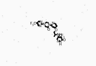 CC(COc1ccnc(N2CCN(c3ncc(C(F)(F)F)cn3)CC2=O)c1)Nc1cn[nH]c(=O)c1C(F)(F)F